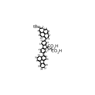 CC(C)(C)c1cc2ccc3ccc(-c4ccc5c(c4)C(CCC(=O)O)(C(=O)O)c4cc(-c6ccc7c8c(cccc68)-c6ccccc6-7)ccc4-5)c4ccc(c1)c2c34